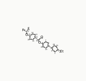 CCc1ccc(-c2ccc(OC(=O)c3ccc(OC(F)F)cc3)cc2)cc1